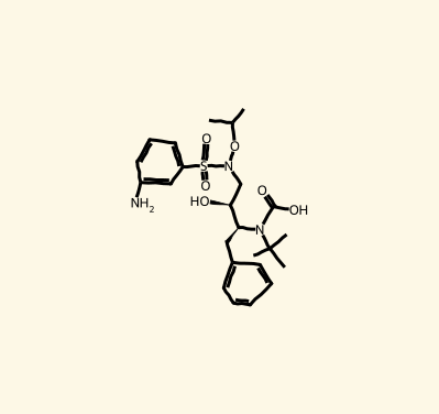 CC(C)ON(C[C@H](O)[C@H](Cc1ccccc1)N(C(=O)O)C(C)(C)C)S(=O)(=O)c1cccc(N)c1